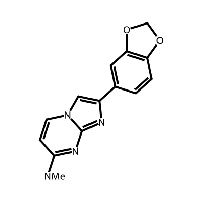 CNc1ccn2cc(-c3ccc4c(c3)OCO4)nc2n1